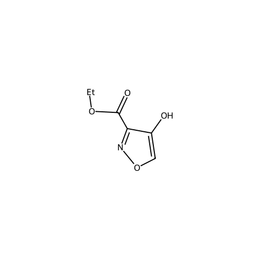 CCOC(=O)c1nocc1O